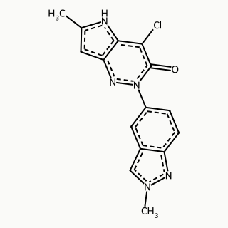 Cc1cc2nn(-c3ccc4nn(C)cc4c3)c(=O)c(Cl)c2[nH]1